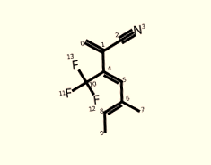 C=C(C#N)C(=CC(C)=CC)C(F)(F)F